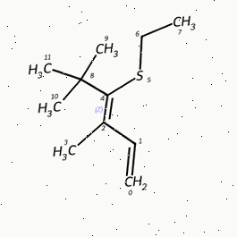 C=C/C(C)=C(\SCC)C(C)(C)C